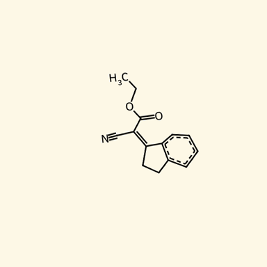 CCOC(=O)C(C#N)=C1CCc2ccccc21